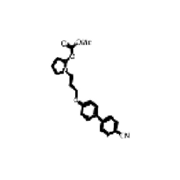 COC(=O)OC1CCCN1CCCOc1ccc(-c2ccc(C#N)cc2)cc1